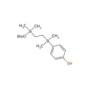 CO[Si](C)(C)CC[Si](C)(C)c1ccc(S)cc1